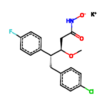 CO[C@H](CC(=O)N[O-])[C@H](Cc1ccc(Cl)cc1)c1ccc(F)cc1.[K+]